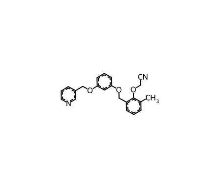 Cc1cccc(COc2cccc(OCc3cccnc3)c2)c1OCC#N